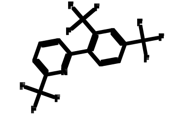 FC(F)(F)c1ccc(-c2cccc(C(F)(F)F)n2)c(C(F)(F)F)c1